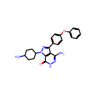 Nc1n[nH]c(=O)c2c1c(-c1ccc(Oc3ccccc3)cc1)nn2C1CCC(N)CC1